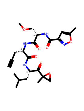 C#CC[C@H](NC(=O)[C@H](COC)NC(=O)c1cc(C)on1)C(=O)N[C@@H](CC(C)C)C(=O)C1(C)CO1